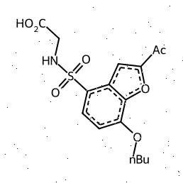 CCCCOc1ccc(S(=O)(=O)NCC(=O)O)c2cc(C(C)=O)oc12